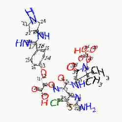 CC1(C)[C@H](NC(=O)/C(=N\O[C@@H](COc2ccc(C(=N)N[C@H]3CCNC3)cc2)C(=O)O)c2nc(N)sc2Cl)C(=O)N1OS(=O)(=O)O